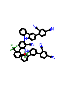 N#Cc1ccc(-c2ccc3c(c2)c2ccccc2n3-c2ccc(-c3c(C(F)(F)F)cccc3C(F)(F)F)c(-n3c4ccccc4c4cc(-c5ccc(C#N)cc5C#N)ccc43)c2C#N)c(C#N)c1